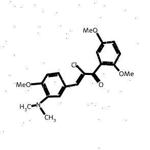 COc1ccc(OC)c(C(=O)C(Cl)=Cc2ccc(OC)c(N(C)C)c2)c1